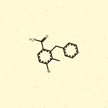 Cc1c(Br)ccc(C(N)=O)c1Cc1ccccc1